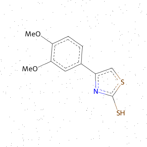 COc1ccc(-c2csc(S)n2)cc1OC